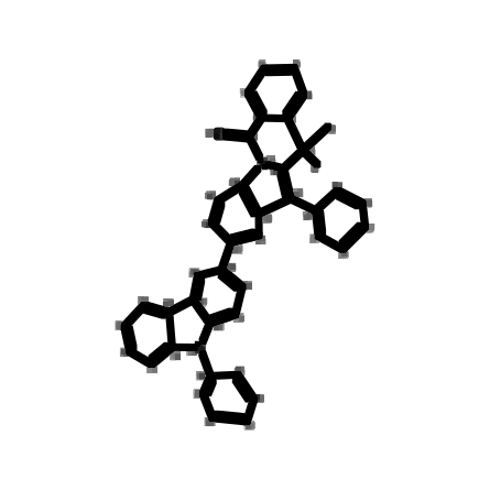 CC1(C)c2ccccc2C(=O)n2c1c(-c1ccccc1)c1cc(-c3ccc4c(c3)c3ccccc3n4-c3ccccc3)ccc12